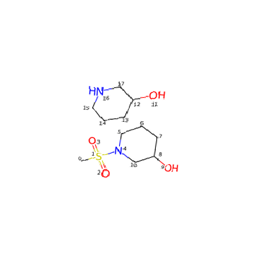 CS(=O)(=O)N1CCCC(O)C1.OC1CCCNC1